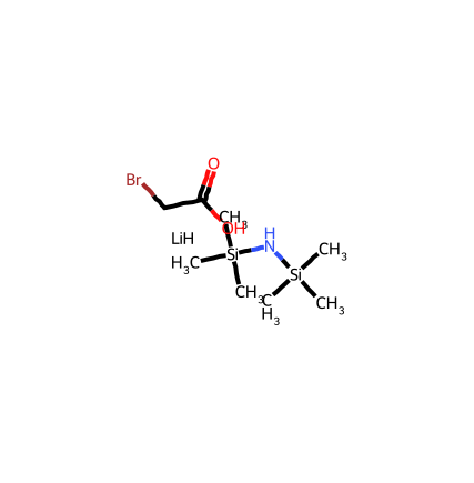 C[Si](C)(C)N[Si](C)(C)C.O=C(O)CBr.[LiH]